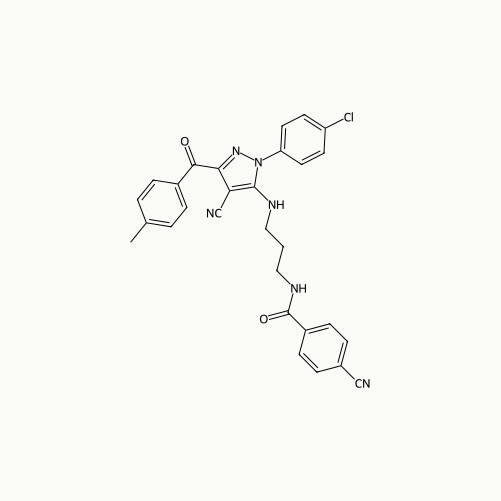 Cc1ccc(C(=O)c2nn(-c3ccc(Cl)cc3)c(NCCCNC(=O)c3ccc(C#N)cc3)c2C#N)cc1